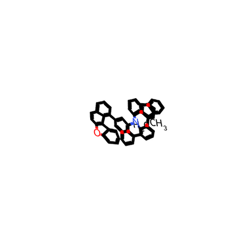 CC1(C)c2ccccc2-c2cccc(N(c3cccc(-c4cccc5ccc6oc7ccccc7c6c45)c3)c3c(-c4ccccc4)cccc3-c3ccccc3)c21